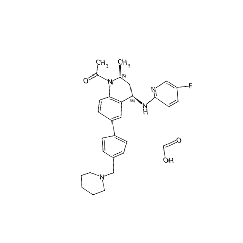 CC(=O)N1c2ccc(-c3ccc(CN4CCCCC4)cc3)cc2[C@H](Nc2ccc(F)cn2)C[C@@H]1C.O=CO